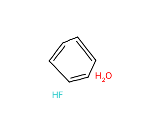 F.O.c1ccccc1